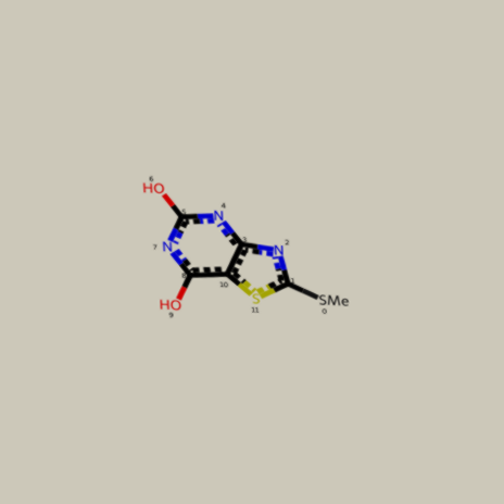 CSc1nc2nc(O)nc(O)c2s1